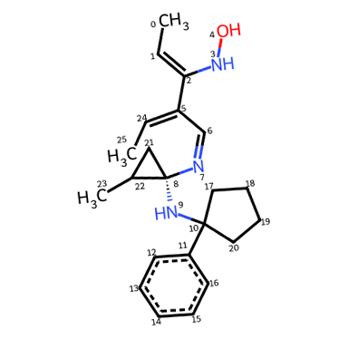 CC=C(NO)C(/C=N\[C@]1(NC2(c3ccccc3)CCCC2)CC1C)=C/C